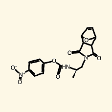 C[C@H](CN1C(=O)C2C3C=CC(O3)C2C1=O)NC(=O)Oc1ccc([N+](=O)[O-])cc1